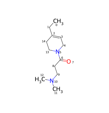 CCC1=CCN(C(=O)CCN(C)C)CC1